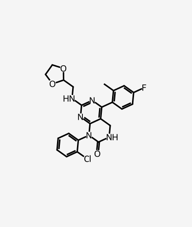 Cc1cc(F)ccc1-c1nc(NCC2OCCO2)nc2c1CNC(=O)N2c1ccccc1Cl